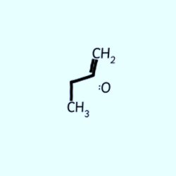 C=CCC.[O]